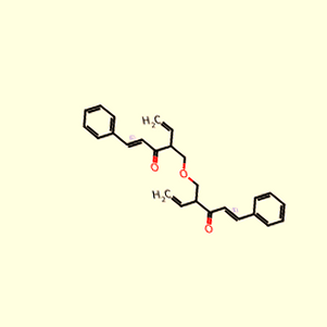 C=CC(COCC(C=C)C(=O)/C=C/c1ccccc1)C(=O)/C=C/c1ccccc1